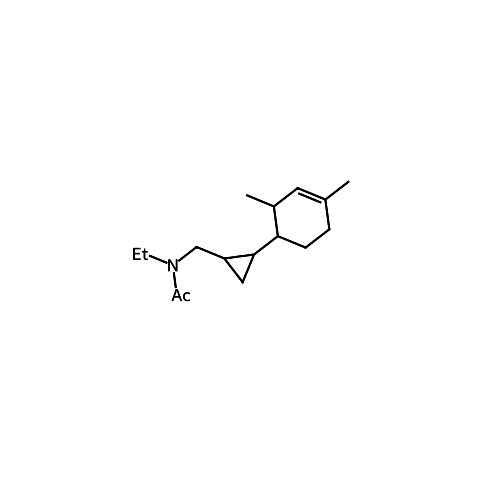 CCN(CC1CC1C1CCC(C)=CC1C)C(C)=O